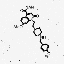 CCOc1ccc(CNC2CCN(CCn3c(=O)cc(C(=O)NC)c4ccc(OC)cc43)CC2)cc1